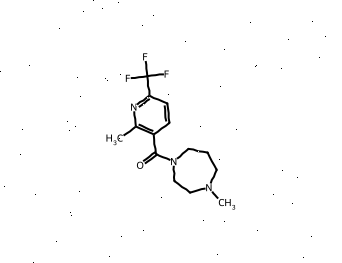 Cc1nc(C(F)(F)F)ccc1C(=O)N1CCCN(C)CC1